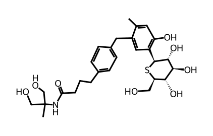 Cc1cc(O)c([C@@H]2S[C@H](CO)[C@@H](O)[C@H](O)[C@H]2O)cc1Cc1ccc(CCCC(=O)NC(C)(CO)CO)cc1